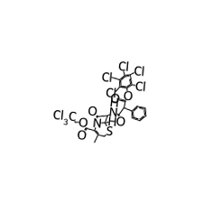 CC1=C(C(=O)OCC(Cl)(Cl)Cl)N2C(=O)C(NC(=O)C(C(=O)Oc3c(Cl)c(Cl)c(Cl)c(Cl)c3Cl)c3ccccc3)[C@@H]2SC1